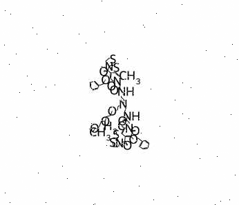 COCCOCCOCCN(CCNC(=O)Cn1c(C)cc(C(=O)N2CCSC2=S)c(OCc2ccccc2)c1=O)CCNC(=O)Cn1c(C)cc(C(=O)N2CCSC2=S)c(OCc2ccccc2)c1=O